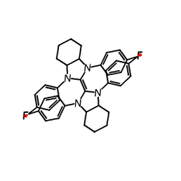 Fc1ccc(N2C(=C3N(c4ccc(F)cc4)C4CCCCC4N3c3ccc(F)cc3)N(c3ccc(F)cc3)C3CCCCC32)cc1